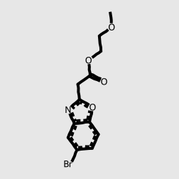 COCCOC(=O)Cc1nc2cc(Br)ccc2o1